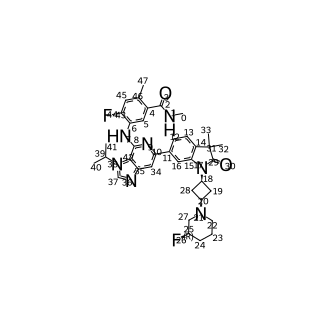 CNC(=O)c1cc(Nc2nc(-c3ccc4c(c3)N([C@H]3C[C@@H](N5CCC[C@@H](F)C5)C3)C(=O)C4(C)C)cc3ncn(C(C)C)c23)c(F)cc1C